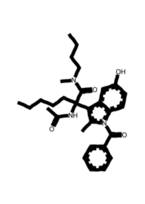 CCCCCC(NC(C)=O)(C(=O)N(C)CCCC)c1c(C)n(C(=O)c2ccccc2)c2ccc(O)cc12